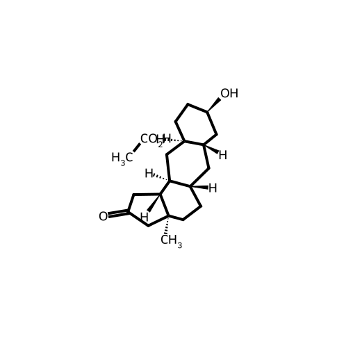 CC(=O)O.C[C@@]12CC[C@H]3C[C@H]4C[C@H](O)CC[C@@H]4C[C@@H]3[C@H]1CC(=O)C2